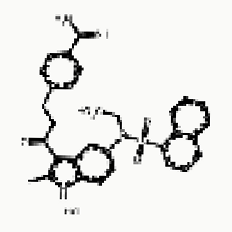 Cc1[nH]c2ccc(N(CC(=O)O)S(=O)(=O)c3cccc4ccccc34)cc2c1C(=O)CCc1ccc(C(=N)N)cc1.Cl